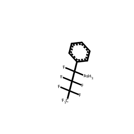 FC(F)(F)C(F)(F)C(F)(F)C(F)([AsH2])c1ccccc1